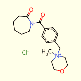 C[N+]1(Cc2ccc(C(=O)N3CCCCCC3=O)cc2)CCOCC1.[Cl-]